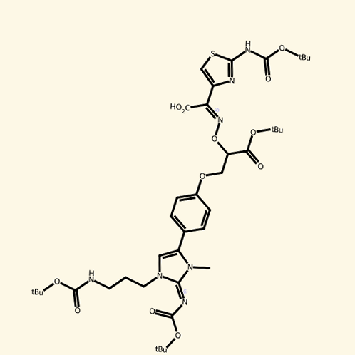 Cn1c(-c2ccc(OCC(O/N=C(\C(=O)O)c3csc(NC(=O)OC(C)(C)C)n3)C(=O)OC(C)(C)C)cc2)cn(CCCNC(=O)OC(C)(C)C)/c1=N\C(=O)OC(C)(C)C